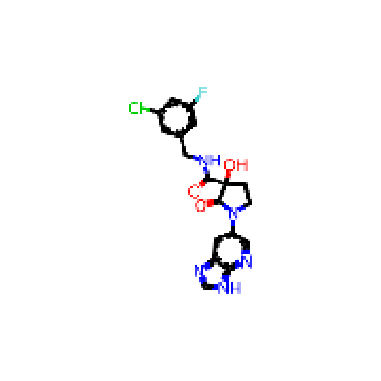 O=C(NCc1cc(F)cc(Cl)c1)C1(O)CCN(c2cnc3[nH]cnc3c2)C1=O